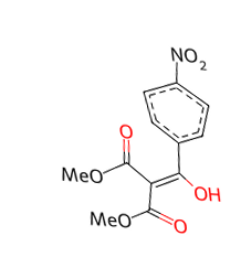 COC(=O)C(C(=O)OC)=C(O)c1ccc([N+](=O)[O-])cc1